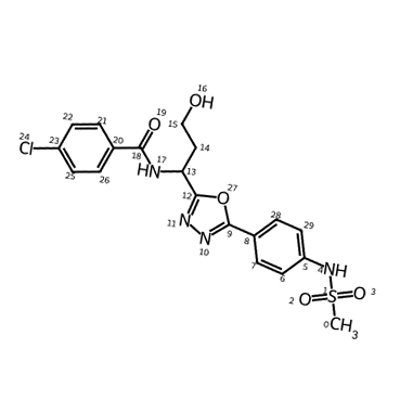 CS(=O)(=O)Nc1ccc(-c2nnc(C(CCO)NC(=O)c3ccc(Cl)cc3)o2)cc1